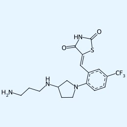 NCCCNC1CCN(c2ccc(C(F)(F)F)cc2/C=C2\SC(=O)NC2=O)C1